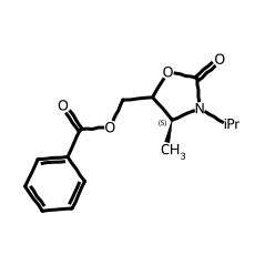 CC(C)N1C(=O)OC(COC(=O)c2ccccc2)[C@@H]1C